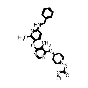 Cc1nc(NCc2ccccc2)ccc1Oc1ncnc(OC2CCN(OC(=O)OC(C)C)CC2)c1C